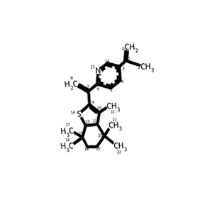 C=C(C)c1ccc(C(=C)C2=C(C)C3C(S2)C(C)(C)CCC3(C)C)nc1